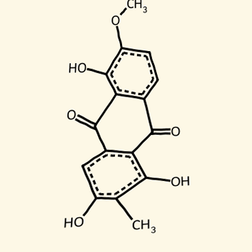 COc1ccc2c(c1O)C(=O)c1cc(O)c(C)c(O)c1C2=O